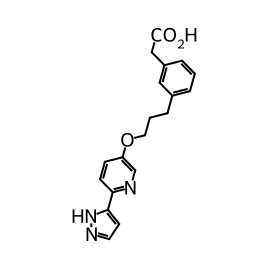 O=C(O)Cc1cccc(CCCOc2ccc(-c3ccn[nH]3)nc2)c1